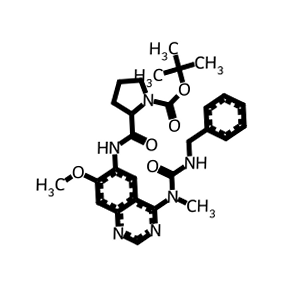 COc1cc2ncnc(N(C)C(=O)NCc3ccccc3)c2cc1NC(=O)C1CCCN1C(=O)OC(C)(C)C